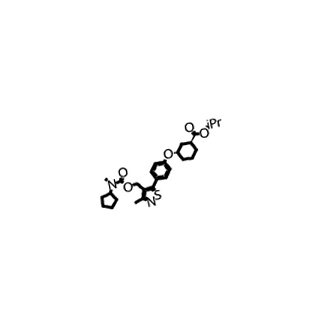 Cc1nsc(-c2ccc(O[C@H]3CCC[C@H](C(=O)OC(C)C)C3)cc2)c1COC(=O)N(C)C1CCCC1